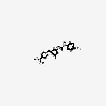 CC(=O)N(C)C1CCN(Cc2cc(F)cc(NC(=O)Nc3ccc(C)nc3)c2)CC1